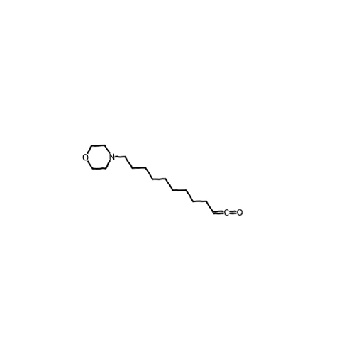 O=C=CCCCCCCCCCN1CCOCC1